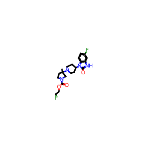 CC1(N2CCC(n3c(=O)[nH]c4cc(F)ccc43)CC2)CCN(C(=O)OCCF)C1